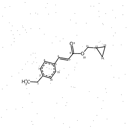 CCc1ccc(C=CC(=O)OCC2CC2)cc1